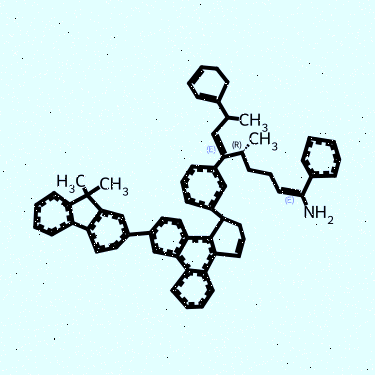 CC(/C=C(/c1cccc(C2CC=Cc3c2c2ccc(-c4ccc5c(c4)C(C)(C)c4ccccc4-5)cc2c2ccccc32)c1)[C@H](C)CC/C=C(/N)c1ccccc1)C1=CC=CCC1